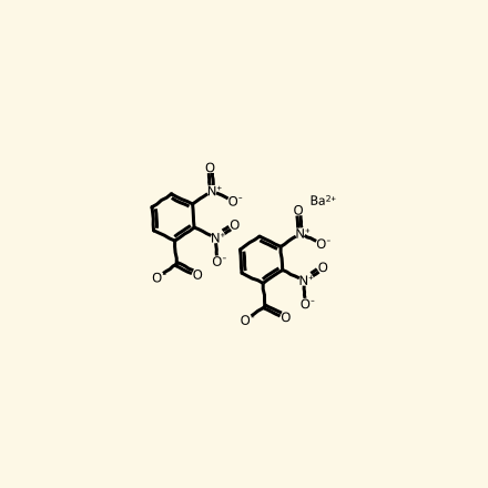 O=C([O-])c1cccc([N+](=O)[O-])c1[N+](=O)[O-].O=C([O-])c1cccc([N+](=O)[O-])c1[N+](=O)[O-].[Ba+2]